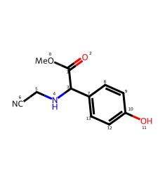 COC(=O)C(NCC#N)c1ccc(O)cc1